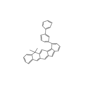 CC1(C)c2ccccc2C=c2cc3c(cc21)=c1c(-c2cccc(-c4ccccc4)c2)cccc1=C3